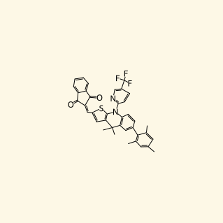 Cc1cc(C)c(-c2ccc3c(c2)C(C)(C)c2cc(C=C4C(=O)c5ccccc5C4=O)sc2N3c2ccc(C(F)(F)F)cn2)c(C)c1